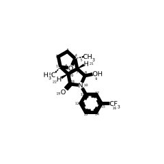 C[C@]12CC[C@](C)(O1)[C@@H]1C(O)N(c3cccc(C(F)(F)F)c3)C(=O)[C@@H]12